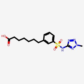 Cn1nnc(NS(=O)(=O)c2cccc(CCCCCCC(=O)O)c2)n1